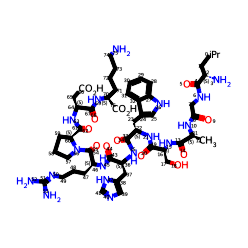 CC(C)C[C@H](N)C(=O)NCC(=O)N[C@@H](C)C(=O)N[C@@H](CO)C(=O)N[C@@H](Cc1c[nH]c2ccccc12)C(=O)N[C@@H](Cc1cnc[nH]1)C(=O)N[C@@H](CCCN=C(N)N)C(=O)N1CCC[C@H]1C(=O)N[C@@H](CC(=O)O)C(=O)N[C@@H](CCCCN)C(=O)O